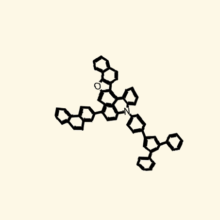 c1ccc(-c2cc(-c3ccccc3)cc(-c3ccc(N(c4ccc(-c5ccc6c(ccc7ccccc76)c5)cc4)c4ccccc4-c4cccc5oc6c7ccccc7ccc6c45)cc3)c2)cc1